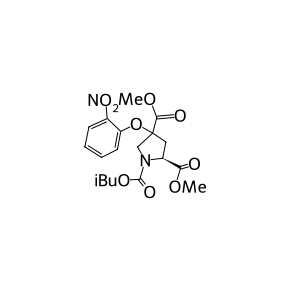 COC(=O)[C@@H]1CC(Oc2ccccc2[N+](=O)[O-])(C(=O)OC)CN1C(=O)OCC(C)C